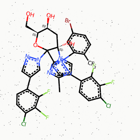 Cc1nc(C2(n3cc(-c4ccc(Cl)c(F)c4F)cn3)O[C@@H](CO)[C@@H](O)C[C@@]2(O)n2cc(-c3ccc(Cl)c(F)c3F)cn2)n(-c2cc(Br)ccc2C(F)(F)F)n1